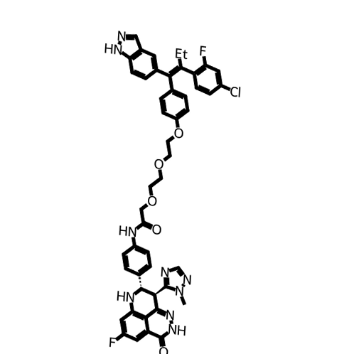 CC/C(=C(/c1ccc(OCCOCCOCC(=O)Nc2ccc([C@H]3Nc4cc(F)cc5c(=O)[nH]nc(c45)[C@@H]3c3ncnn3C)cc2)cc1)c1ccc2[nH]ncc2c1)c1ccc(Cl)cc1F